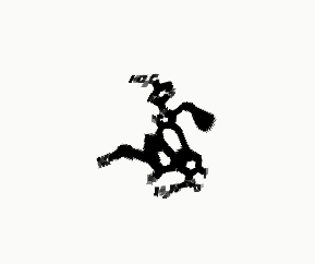 N#CC#Cc1cc(-c2nn(-c3nc(C(=O)O)cs3)c(CC3CC3)c2Cc2ccc([S+](N)[O-])c(F)c2)ccc1F